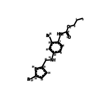 CCCOC(=O)Nc1ccc(NCc2ccc(Br)s2)cc1Br